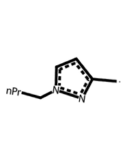 [CH2]c1ccn(CCCC)n1